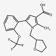 Cc1c(C(=O)O)cc(-c2ccccc2OC(F)(F)F)n1CC1CCCO1